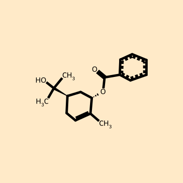 CC1=CC[C@@H](C(C)(C)O)C[C@@H]1OC(=O)c1ccccc1